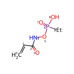 C=CC(=O)NOP(=O)(O)CC